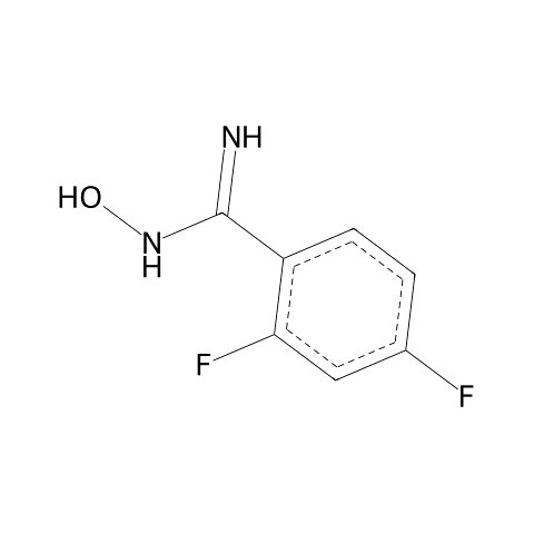 N=C(NO)c1ccc(F)cc1F